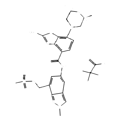 COc1nc2c(C(=O)Nc3cc(CNS(C)(=O)=O)c4nn(C)cc4c3)ccc(N3C[C@H](C)N[C@@H](C)C3)c2s1.O=C(O)C(F)(F)F